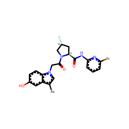 CC(=O)c1cn(CC(=O)N2C[C@H](F)C[C@H]2C(=O)Nc2cccc(Br)n2)c2ccc(O)cc12